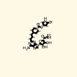 CCNC(=O)[C@H]1O[C@@H](n2cnc3c(N)nc(CCCC4CCN(C(=O)OC5CNC(=O)C5)CC4)nc32)[C@@H](O)C1O